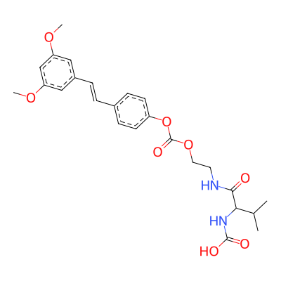 COc1cc(C=Cc2ccc(OC(=O)OCCNC(=O)C(NC(=O)O)C(C)C)cc2)cc(OC)c1